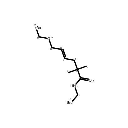 CC(C)(C)CNC(=O)C(C)(C)C/C=C/COCC(C)(C)C